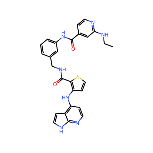 CCNc1cc(C(=O)Nc2cccc(CNC(=O)c3sccc3Nc3ccnc4[nH]ccc34)c2)ccn1